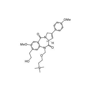 COc1ccc(C2=C[C@H]3C(=O)N(COCC[Si](C)(C)C)c4cc(CCO)c(OC)cc4C(=O)N3C2)cc1